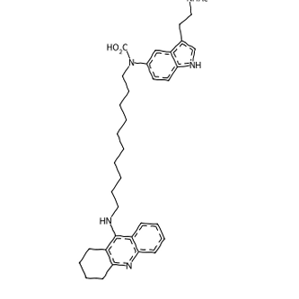 CC(=O)NCCc1c[nH]c2ccc(N(CCCCCCCCCCNc3c4c(nc5ccccc35)CCCC4)C(=O)O)cc12